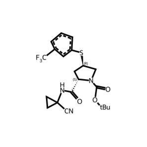 CC(C)(C)OC(=O)N1C[C@H](Sc2cccc(C(F)(F)F)c2)C[C@H]1C(=O)NC1(C#N)CC1